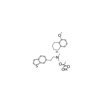 COc1cccc2c1CCC[C@H]2CN(C)CCc1ccc2ccsc2c1.CS(=O)(=O)O